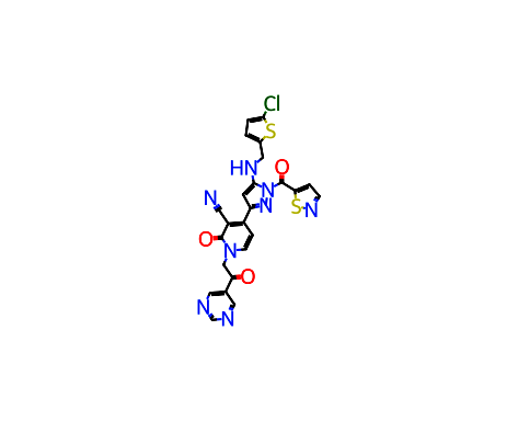 N#Cc1c(-c2cc(NCc3ccc(Cl)s3)n(C(=O)c3ccns3)n2)ccn(CC(=O)c2cncnc2)c1=O